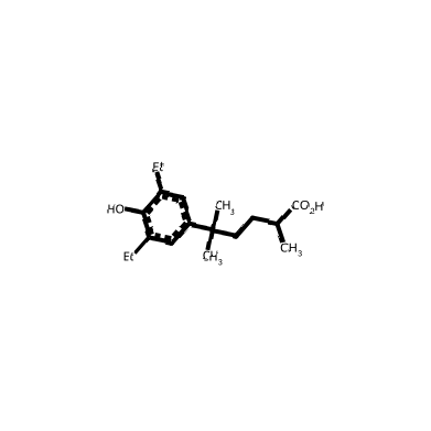 CCc1cc(C(C)(C)CCC(C)C(=O)O)cc(CC)c1O